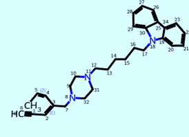 C#C/C=C(\C=C/C)CN1CCN(CCCCCCn2c3ccccc3c3ccccc32)CC1